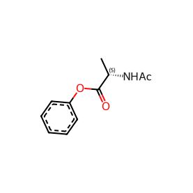 CC(=O)N[C@@H](C)C(=O)Oc1ccccc1